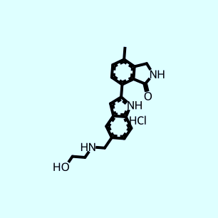 Cc1ccc(-c2cc3cc(CNCCO)ccc3[nH]2)c2c1CNC2=O.Cl